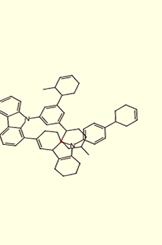 CC1CCC(c2cc(C3CCC=CC3C)cc(-n3c4ccccc4c4cccc(C5=CC6C7=C(CCCC7)N(c7ccc(C8CC=CCC8)cc7)C6CC5)c43)c2)CC1